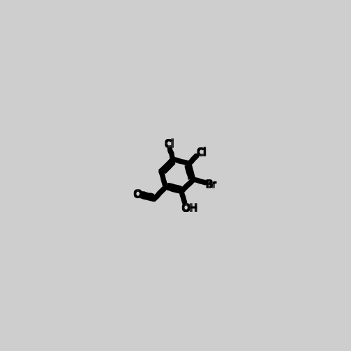 O=Cc1cc(Cl)c(Cl)c(Br)c1O